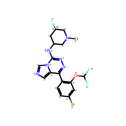 CCN1CC(Nc2nnc(-c3ccc(Br)cc3OC(F)F)c3cncn23)C[C@@H](F)C1